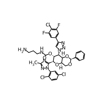 Cc1nc([C@@H]2O[C@@H]3CO[C@H](c4ccccc4)O[C@@H]3[C@H](n3cc(-c4cc(F)c(Cl)c(F)c4)nn3)[C@H]2OC(=O)NCCCN)n(-c2cc(Cl)ccc2Cl)n1